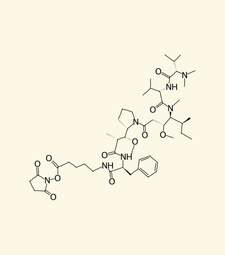 CC[C@H](C)[C@@H]([C@@H](CC(=O)N1CCC[C@H]1[C@H](OC)[C@@H](C)C(=O)N[C@@H](Cc1ccccc1)C(=O)NCCCCC(=O)ON1C(=O)CCC1=O)OC)N(C)C(=O)[C@@H](NC(=O)[C@H](C(C)C)N(C)C)C(C)C